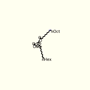 CCCCCCC=CCCCCCCCC(=O)OC(COC(=O)CCCCCCC/C=C\CCCCCCCC)COC(=O)OC